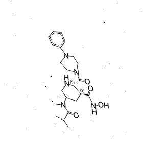 CC(C)C(=O)N(C)C1CN[C@H](C(=O)N2CCN(c3ccccc3)CC2)[C@@H](C(=O)NO)C1